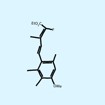 CCOC(=O)/C(F)=C(C)/C=C/c1c(C)cc(OC)c(C)c1C